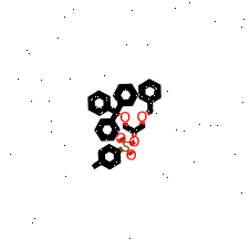 Cc1ccc(S(=O)(=O)OC(COCc2ccccc2)COC(c2ccccc2)(c2ccccc2)c2ccccc2)cc1